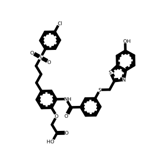 O=C(O)COc1ccc(CCCS(=O)(=O)c2ccc(Cl)cc2)cc1NC(=O)c1cccc(SCc2nc3ccc(O)cc3s2)c1